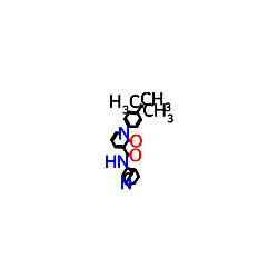 CC(C)(C)c1ccc(-n2cccc(C(=O)NC3CN4CCC3CC4)c2=O)cc1